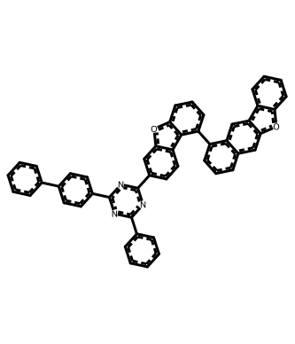 c1ccc(-c2ccc(-c3nc(-c4ccccc4)nc(-c4ccc5c(c4)oc4cccc(-c6cccc7cc8oc9ccccc9c8cc67)c45)n3)cc2)cc1